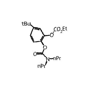 CCCN(CCC)C(=O)Oc1ccc(C(C)(C)C)cc1OC(=O)OCC